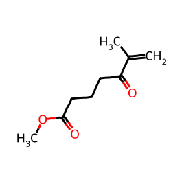 C=C(C)C(=O)CCCC(=O)OC